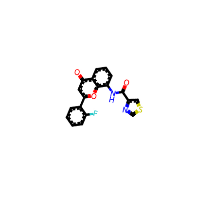 O=C(Nc1cccc2c(=O)cc(-c3ccccc3F)oc12)c1cscn1